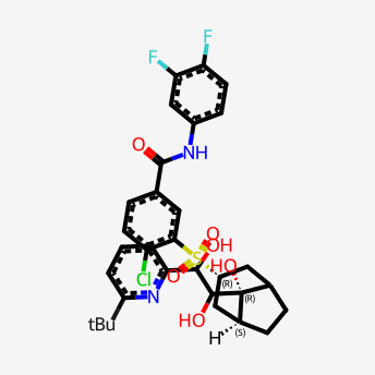 CC(C)(C)c1cccc(C(O)C(O)[C@@]2(O)C3CC[C@H]2C[C@H](S(=O)(=O)c2cc(C(=O)Nc4ccc(F)c(F)c4)ccc2Cl)C3)n1